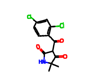 CC1(C)NC(=O)C(C(=O)c2ccc(Cl)cc2Cl)C1=O